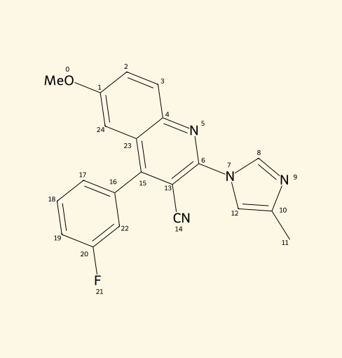 COc1ccc2nc(-n3cnc(C)c3)c(C#N)c(-c3cccc(F)c3)c2c1